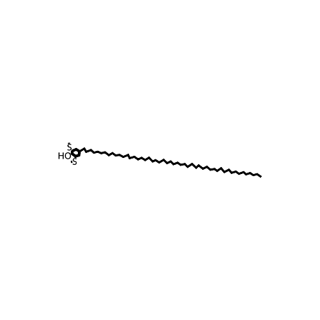 CCCCCCCCCCCCCCCCCCCCCCCCCCCCCCCCCCCCCCCCCCCCCCCCCCc1cc(SC)c(O)c(SC)c1